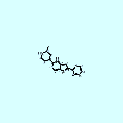 CC1CC(c2ncc3nc(-c4cnccn4)cc-3[nH]2)CCN1